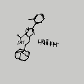 Cc1ccccc1C1=NC(CCC23CC4CC(CC(C4)C2)C3)C(C(C)O)=N1.[Al+3].[H-].[H-].[H-].[H-].[Li+]